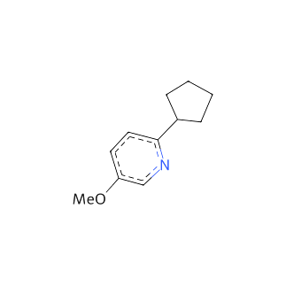 COc1ccc(C2CCCC2)nc1